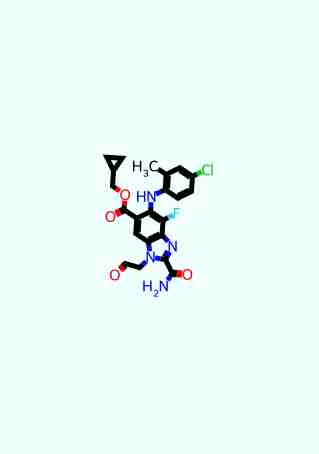 Cc1cc(Cl)ccc1Nc1c(C(=O)OCC2CC2)cc2c(nc(C(N)=O)n2CC=O)c1F